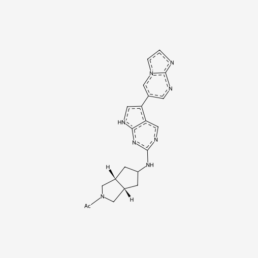 CC(=O)N1C[C@H]2CC(Nc3ncc4c(-c5cnc6nccn6c5)c[nH]c4n3)C[C@H]2C1